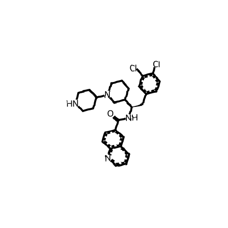 O=C(N[C@H](Cc1ccc(Cl)c(Cl)c1)C1CCCN(C2CCNCC2)C1)c1ccc2ncccc2c1